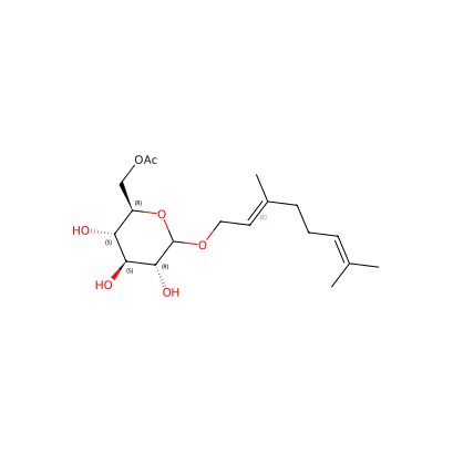 CC(=O)OC[C@H]1OC(OC/C=C(\C)CCC=C(C)C)[C@H](O)[C@@H](O)[C@@H]1O